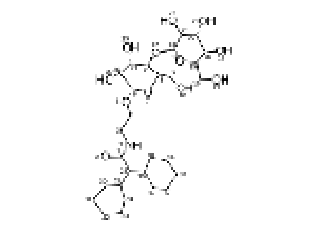 O=C(NCCO[C@H]1OC(CO)[C@H](O[C@@H]2OC(CO)[C@H](O)[C@@H](O)C2O)[C@@H](O)C1O)C(C1CCCCC1)C1CCCCC1